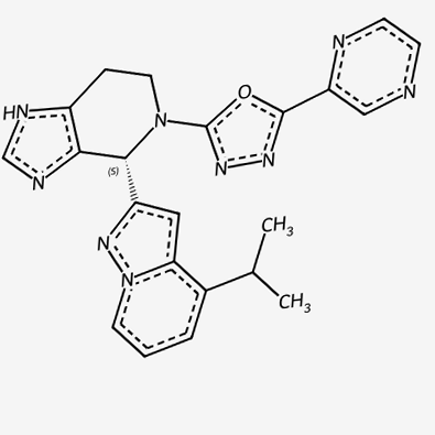 CC(C)c1cccn2nc([C@@H]3c4nc[nH]c4CCN3c3nnc(-c4cnccn4)o3)cc12